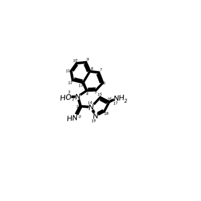 N=C(N(O)c1cccc2ccccc12)n1cc(N)cn1